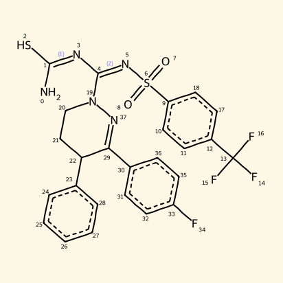 N/C(S)=N\C(=N\S(=O)(=O)c1ccc(C(F)(F)F)cc1)N1CCC(c2ccccc2)C(c2ccc(F)cc2)=N1